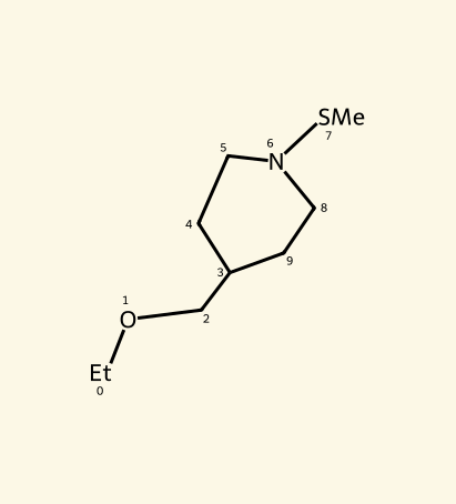 CCOCC1CCN(SC)CC1